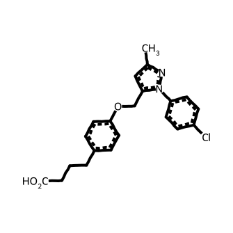 Cc1cc(COc2ccc(CCCC(=O)O)cc2)n(-c2ccc(Cl)cc2)n1